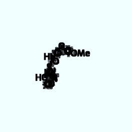 COc1ccc(C(=O)N2CCC(NC(=O)CCSc3nc(O)c4c(cnn4C4CCCCO4)n3)CC2)cc1